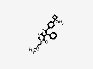 COCCn1cnc2oc(-c3ccc(C4(N)CCC4)cc3)c(-c3ccccc3)c2c1=O